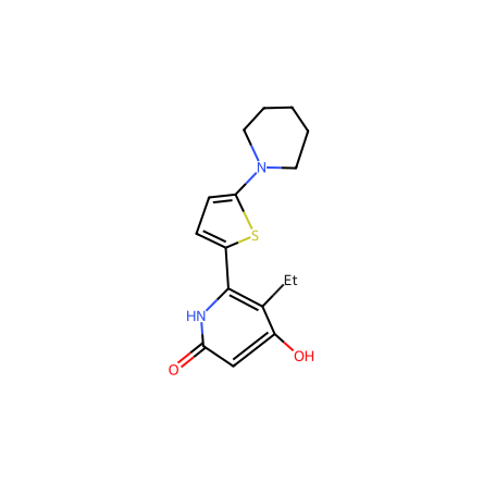 CCc1c(O)cc(=O)[nH]c1-c1ccc(N2CCCCC2)s1